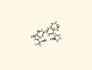 N#CC1(c2c[nH]c3ncc(-c4cc5c(c(C6CCCN6)c4)COCC5)cc23)CC1